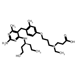 CCC[C@@H](CCO)Nc1nc(N)nc(C)c1Cc1ccc(OCCCN(CC)CCC(=O)O)cc1C